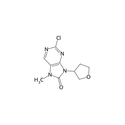 Cn1c(=O)n(C2CCOC2)c2nc(Cl)ncc21